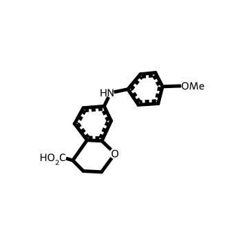 COc1ccc(Nc2ccc3c(c2)OCCC3C(=O)O)cc1